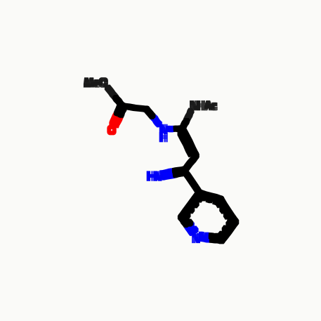 COC(=O)CN/C(=C\C(=N)c1cccnc1)NC(C)=O